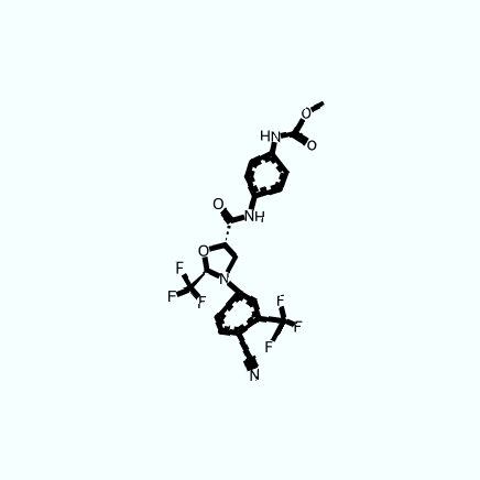 COC(=O)Nc1ccc(NC(=O)[C@@H]2CN(c3ccc(C#N)c(C(F)(F)F)c3)[C@@H](C(F)(F)F)O2)cc1